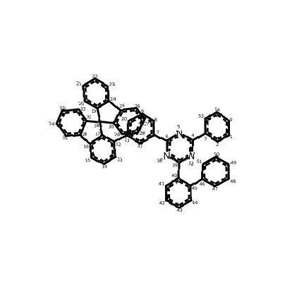 c1ccc(-c2nc(-c3cccc(-c4cccc5c4C4(c6ccccc6-c6ccccc64)c4ccccc4-5)c3)nc(-c3ccccc3-c3ccccc3)n2)cc1